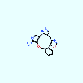 Nc1ncc2cc1OCc1ccccc1-c1ocnc1Cc1cn[nH]c1-2